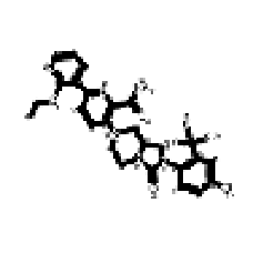 CCOc1ncccc1-c1ccc(N2CCN3C(=O)N(c4ccc(Cl)cc4C(F)(F)F)CC3C2)c(C(N)=O)n1